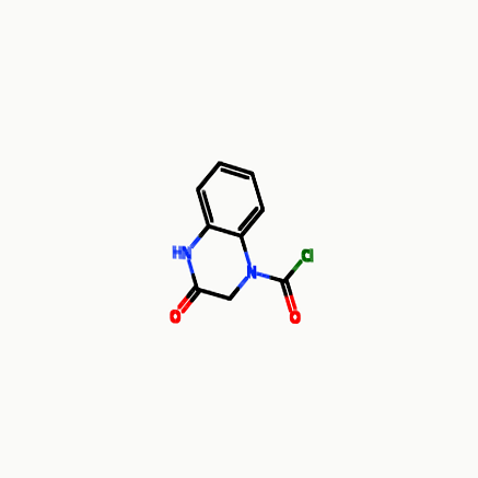 O=C1CN(C(=O)Cl)c2ccccc2N1